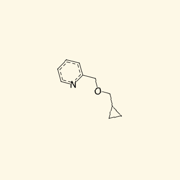 c1ccc(COCC2CC2)nc1